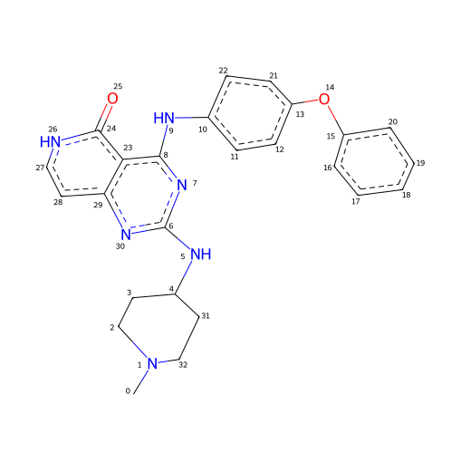 CN1CCC(Nc2nc(Nc3ccc(Oc4ccccc4)cc3)c3c(=O)[nH]ccc3n2)CC1